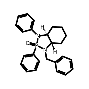 O=P1(c2ccccc2)N(Cc2ccccc2)[C@H]2CCCC[C@@H]2N1c1ccccc1